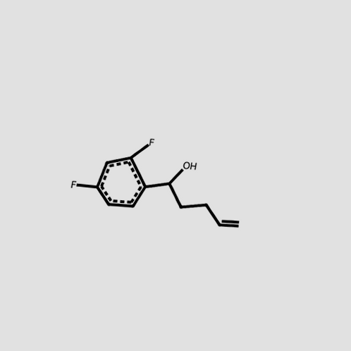 C=CCCC(O)c1ccc(F)cc1F